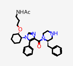 CC(=O)NCCCO[C@H]1CCCC[C@@H]1n1cnc(C(=O)N2CCNC[C@H]2Cc2ccccc2)c1-c1ccccc1